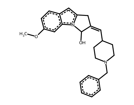 COc1ccc2cc3n(c2c1)C(O)C(=CC1CCN(Cc2ccccc2)CC1)C3